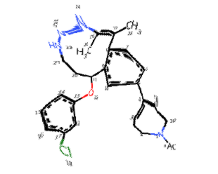 CC(=O)N1CC=C(c2ccc3c(c2)C(Oc2cccc(Cl)c2)CCN/N=N\C(C)=C\3C)CC1